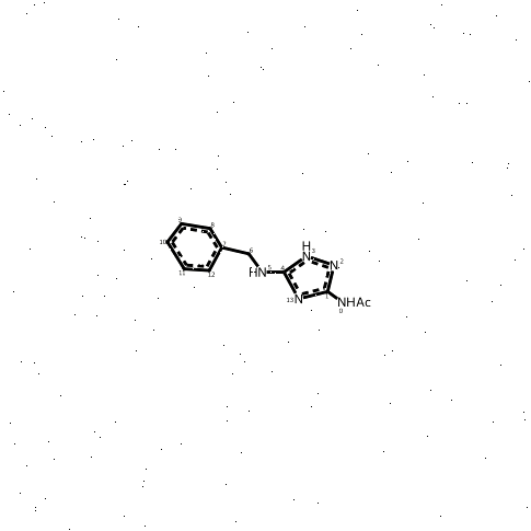 CC(=O)Nc1n[nH]c(NCc2ccccc2)n1